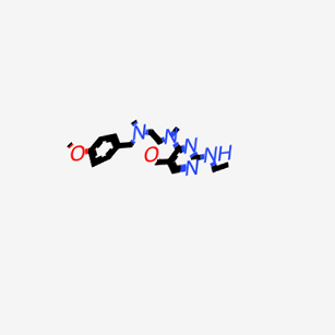 CCNc1ncc(C=O)c(N(C)CCN(C)Cc2ccc(OC)cc2)n1